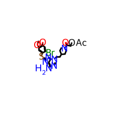 CC(=O)OCC(=O)N1CCC(CCn2cnc(N)c3nc(Sc4cc5c(cc4Br)OCO5)nc2-3)CC1